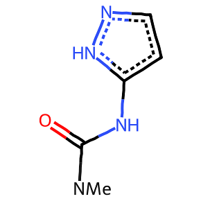 CNC(=O)Nc1ccn[nH]1